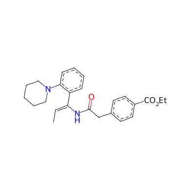 CC=C(NC(=O)Cc1ccc(C(=O)OCC)cc1)c1ccccc1N1CCCCC1